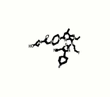 CCn1nc2c(C)cc(N3CCN(CC(=O)N4CC(O)C4)CC3)nc2c1N(CCF)c1nc(-c2ccc(F)cc2)c(C#N)s1